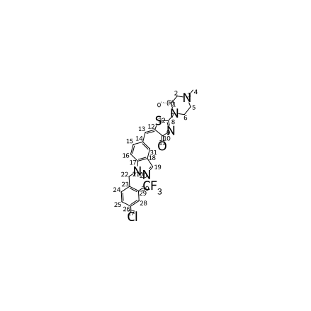 C[C@@H]1CN(C)CCN1C1=NC(=O)C(=Cc2ccc3c(cnn3Cc3ccc(Cl)cc3C(F)(F)F)c2)S1